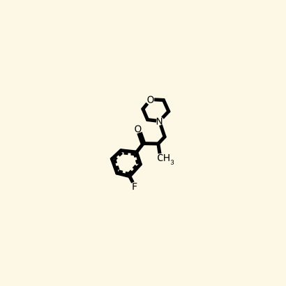 CC(CN1CCOCC1)C(=O)c1cccc(F)c1